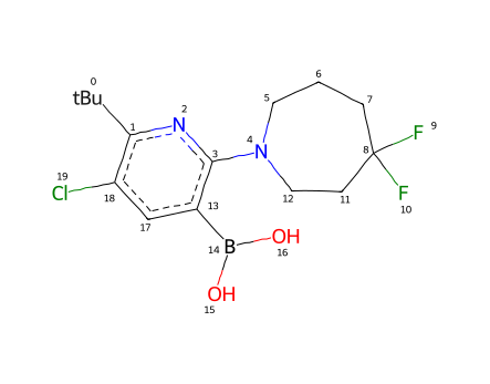 CC(C)(C)c1nc(N2CCCC(F)(F)CC2)c(B(O)O)cc1Cl